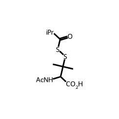 CC(=O)NC(C(=O)O)C(C)(C)SSC(=O)C(C)C